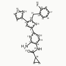 Nc1nc(-c2cc(-c3ccon3)n(Cc3ccccc3F)n2)ncc1NC(=O)C1CC1